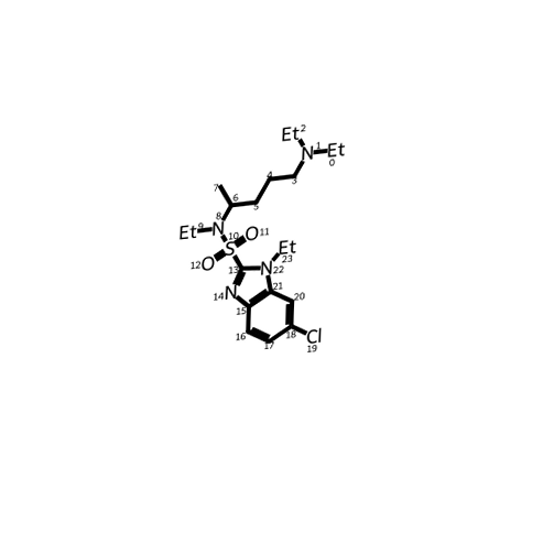 CCN(CC)CCCC(C)N(CC)S(=O)(=O)c1nc2ccc(Cl)cc2n1CC